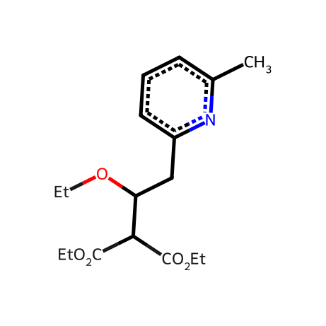 CCOC(=O)C(C(=O)OCC)C(Cc1cccc(C)n1)OCC